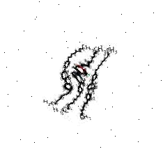 CCCCCCCCCc1ccc(-c2ccc(-c3ccc(CCCCCC)cc3)c(F)n2)cc1.CCCCCCCCCc1ccc(-c2ccc(-c3ccc(CCCCCCCC)cc3)c(F)n2)cc1.CCCCCCCCCc1ccc(-c2ccc(-c3ccc(CCCCCCCCC)cc3)c(F)n2)cc1